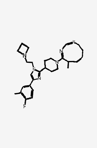 Cc1cc(-c2cn(CCN3CCC3)c(C3CCN(/C4=N/C=N\CCCCC4C)CC3)n2)ccc1F